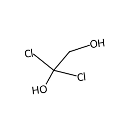 OCC(O)(Cl)Cl